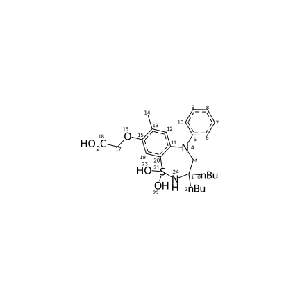 CCCCC1(CCCC)CN(c2ccccc2)c2cc(C)c(OCC(=O)O)cc2S(O)(O)N1